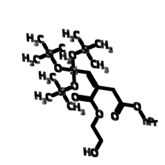 CCCOC(=O)CC(=C[Si](O[Si](C)(C)C)(O[Si](C)(C)C)O[Si](C)(C)C)C(=O)OCCO